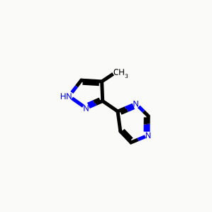 Cc1c[nH]nc1-c1ccncn1